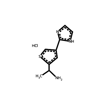 CC(N)c1cc(-c2ncc[nH]2)cs1.Cl